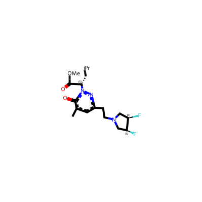 COC(=O)[C@H](CC(C)C)n1nc(CCN2C[C@@H](F)[C@@H](F)C2)cc(C)c1=O